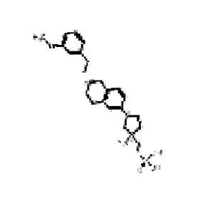 COc1cccc(CC[C@H]2CCc3cc([C@H]4CC[C@](N)(COP(=O)(O)O)C4)ccc3C2)c1